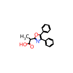 CC(C(=O)O)c1nc(-c2ccccc2)c(-c2ccccc2)o1